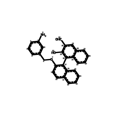 Nc1cccc(COc2ccc3ccccc3c2-c2c(O)c(C=O)cc3ccccc23)c1